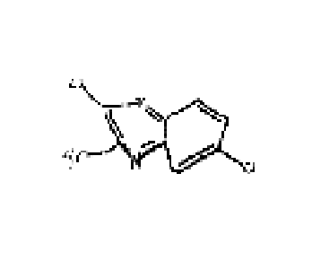 [CH2]c1nc2cc(Cl)ccc2nc1Cl